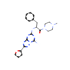 CN1CCN(C(=O)C(Cc2ccccc2)Nc2nc(N)n3nc(-c4ccco4)nc3n2)CC1